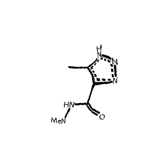 CNNC(=O)c1nn[nH]c1C